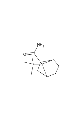 CC(C)(C)N1C2CCC1C(C(N)=O)C2